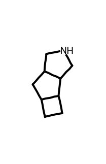 C1CC2C1CC1CNCC12